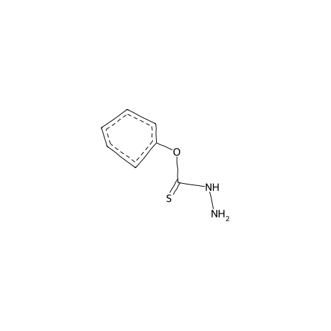 NNC(=S)Oc1ccccc1